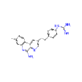 Cc1ccc2c(c1)nc(N)c1ncc(CCc3ccc(NC(=N)N)cc3)cc12